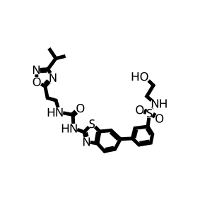 CC(C)c1noc(CCNC(=O)Nc2nc3ccc(-c4cccc(S(=O)(=O)NCCO)c4)cc3s2)n1